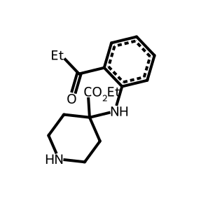 CCOC(=O)C1(Nc2ccccc2C(=O)CC)CCNCC1